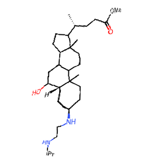 COC(=O)CC[C@@H](C)C1CCC2C3CC(O)[C@H]4C[C@H](NCCNC(C)C)CCC4(C)C3CCC21C